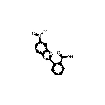 O=C(O)c1ccccc1-c1nc2cc([N+](=O)[O-])ccc2o1